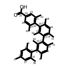 Cc1cc(C)c(-c2c(C)cc(C)c(-c3c(C)cc(C)c(-c4c(C)cc(C(=O)O)cc4C)c3C)c2C)c(C)c1